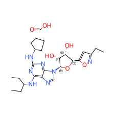 CCc1cc([C@H]2O[C@@H](n3cnc4c(NC(CC)CC)nc(NC5CCCC5)nc43)[C@H](O)[C@@H]2O)on1.O=CO